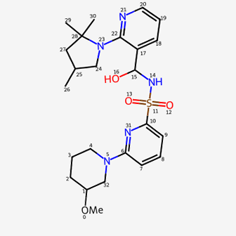 COC1CCCN(c2cccc(S(=O)(=O)NC(O)c3cccnc3N3CC(C)CC3(C)C)n2)C1